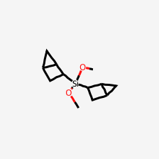 CO[Si](OC)(C1CC2CC21)C1CC2CC21